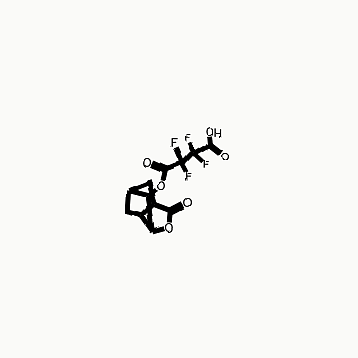 O=C1OC2C3CC(CC13)C2OC(=O)C(F)(F)C(F)(F)C(=O)O